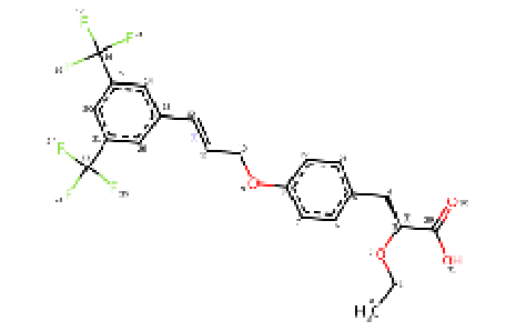 CCO[C@@H](Cc1ccc(OC/C=C/c2cc(C(F)(F)F)cc(C(F)(F)F)c2)cc1)C(=O)O